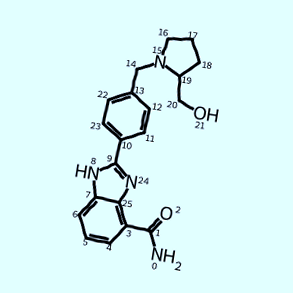 NC(=O)c1cccc2[nH]c(-c3ccc(CN4CCCC4CO)cc3)nc12